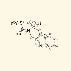 CCCSC(=S)N1Cc2[nH]c3ccccc3c2CC1C(=O)O